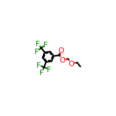 CCOCOC(=O)c1cc(C(F)(F)F)cc(C(F)(F)F)c1